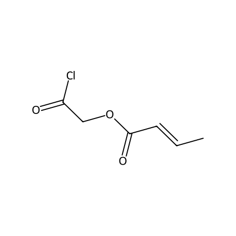 CC=CC(=O)OCC(=O)Cl